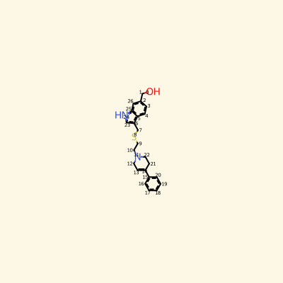 OCc1ccc2c(CSCCN3CC=C(c4ccccc4)CC3)c[nH]c2c1